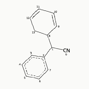 N#CC(c1ccccc1)C1C=CC=CC1